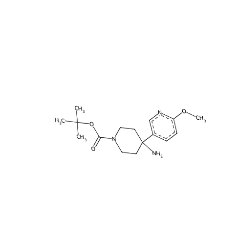 COc1ccc(C2(N)CCN(C(=O)OC(C)(C)C)CC2)cn1